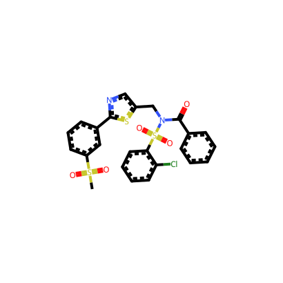 CS(=O)(=O)c1cccc(-c2ncc(CN(C(=O)c3ccccc3)S(=O)(=O)c3ccccc3Cl)s2)c1